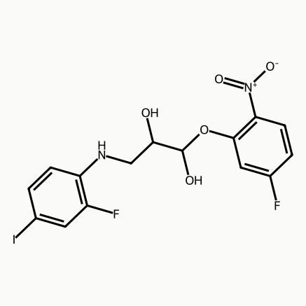 O=[N+]([O-])c1ccc(F)cc1OC(O)C(O)CNc1ccc(I)cc1F